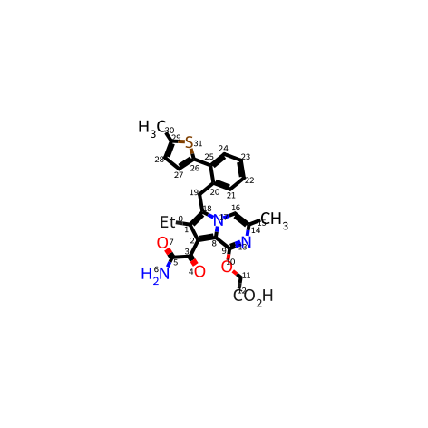 CCc1c(C(=O)C(N)=O)c2c(OCC(=O)O)nc(C)cn2c1Cc1ccccc1-c1ccc(C)s1